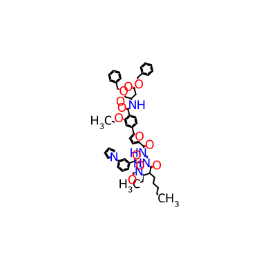 CCCCCC(C(=O)NCNC(=O)c1ccc(-c2ccc(C(=O)NC(CC(=O)OCc3ccccc3)C(=O)OCc3ccccc3)c(OCC)c2)o1)[C@@H](CC)N(C=O)OC(=O)c1cccc(-n2cccc2)c1